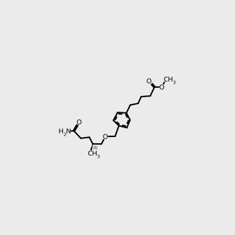 COC(=O)CCCCc1ccc(COC[C@@H](C)CCC(N)=O)cc1